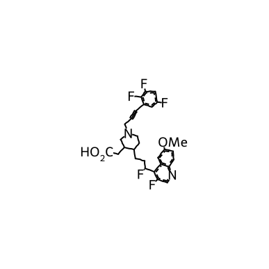 COc1ccc2ncc(F)c([C@H](F)CCC3CCN(CC#Cc4cc(F)cc(F)c4F)CC3CC(=O)O)c2c1